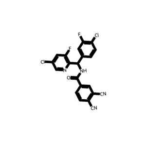 N#Cc1ccc(C(=O)NC(c2ccc(Cl)c(F)c2)c2ncc(Cl)cc2F)cc1C#N